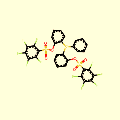 O=S(=O)(Oc1ccccc1[S+](c1ccccc1)c1ccccc1OS(=O)(=O)c1c(F)c(F)c(F)c(F)c1F)c1c(F)c(F)c(F)c(F)c1F